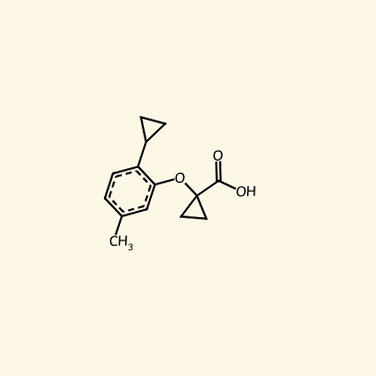 Cc1ccc(C2CC2)c(OC2(C(=O)O)CC2)c1